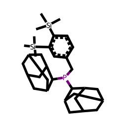 C[Si](C)(C)c1ccc(CP(C2C3CC4CC(C3)CC2C4)C2C3CC4CC(C3)CC2C4)cc1[Si](C)(C)C